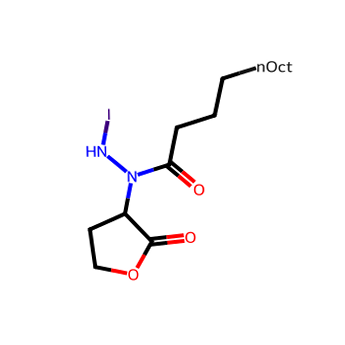 CCCCCCCCCCCC(=O)N(NI)C1CCOC1=O